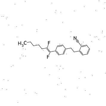 CCCCCC(F)=C(F)c1ccc(CCc2ccccc2C#N)cc1